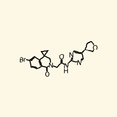 O=C(CN1CC2(CC2)c2cc(Br)ccc2C1=O)Nc1ncc(C2CCOC2)cn1